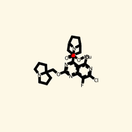 CC(C)(C)OC(=O)N1C2CCC1CN(c1nc(OCC34CCCN3CCC4)nc3c(F)c(Cl)nc(Cl)c13)C2